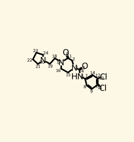 O=C1CN(C(=O)Nc2ccc(Cl)c(Cl)c2)CCN1CCN1CCCC1